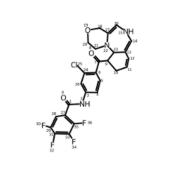 O=C(Nc1ccc(C(=O)C2CC=CC3=CNC=C4COCCN4C32)c(Cl)c1)c1cc(F)c(F)c(F)c1F